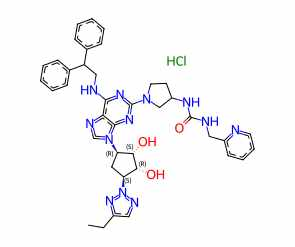 CCc1cnn([C@H]2C[C@@H](n3cnc4c(NCC(c5ccccc5)c5ccccc5)nc(N5CCC(NC(=O)NCc6ccccn6)C5)nc43)[C@H](O)[C@@H]2O)n1.Cl